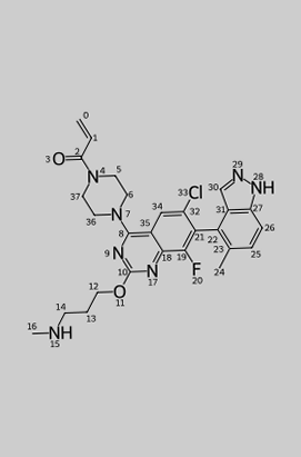 C=CC(=O)N1CCN(c2nc(OCCCNC)nc3c(F)c(-c4c(C)ccc5[nH]ncc45)c(Cl)cc23)CC1